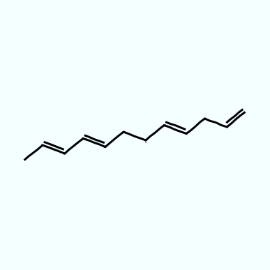 C=CCC=C[CH]CC=CC=CC